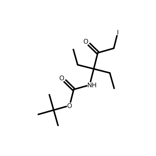 CCC(CC)(NC(=O)OC(C)(C)C)C(=O)CI